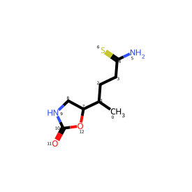 CC(CCC(N)=S)C1CNC(=O)O1